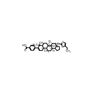 CCc1csc(N[C@]23CCCC2[C@H]2CCC4[C@@]5(C)CC=C(c6ccc(C(=O)O)cc6)C(C)(C)C5CC[C@@]4(C)[C@]2(C)CC3)n1